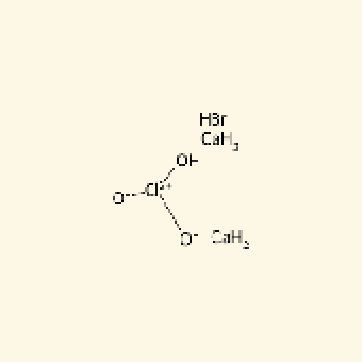 Br.[CaH2].[CaH2].[O-][Cl+2]([O-])O